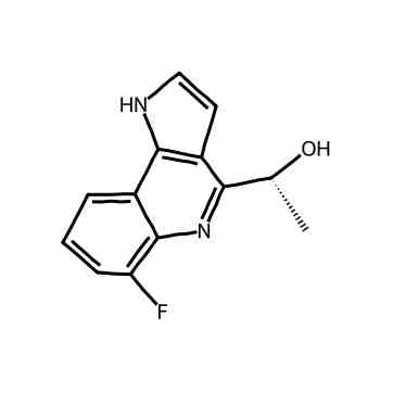 C[C@@H](O)c1nc2c(F)cccc2c2[nH]ccc12